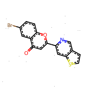 O=c1cc(-c2cc3sccc3cn2)oc2ccc(Br)cc12